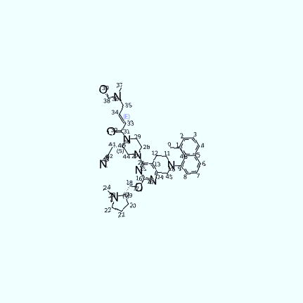 Cc1cccc2cccc(N3CCc4c(nc(OC[C@@H]5CCCN5C)nc4N4CCN(C(=O)/C=C/CN(C)C=O)[C@@H](CC#N)C4)C3)c12